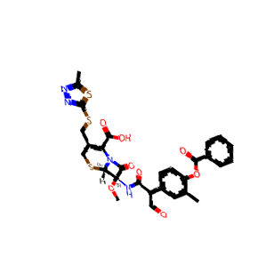 CO[C@@]1(NC(=O)C(C=O)c2ccc(OC(=O)c3ccccc3)c(C)c2)C(=O)N2C(C(=O)O)=C(CSc3nnc(C)s3)CS[C@H]21